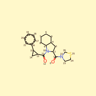 O=C(C1CC2CCCCC2N1C(=O)C1CC1c1ccccc1)N1CCSC1